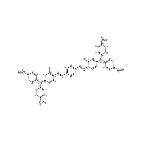 COc1ccc(N(c2ccc(OC)cc2)c2ccc(C=Cc3ccc(C=Cc4ccc(N(c5ccc(OC)cc5)c5ccc(OC)cc5)cc4C)cc3)c(C)c2)cc1